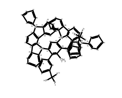 Cc1c(-c2cccc(C(F)(F)F)c2)c(-n2c3ccccc3c3ccc4c(c5ccccc5n4-c4ccccc4)c32)cc(-n2c3ccccc3c3ccc4c(c5ccccc5n4-c4ccccc4)c32)c1-c1cccc(C(F)(F)F)c1